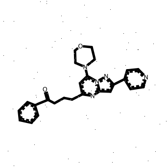 O=C(CCCc1cc(N2CCOCC2)n2nc(-c3ccncc3)cc2n1)c1ccccc1